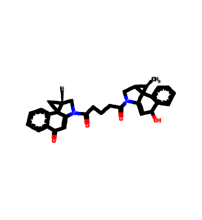 C[C@@H]1C2CN(C(=O)CCCC(=O)N3C[C@H]4CC45C3=CC(=O)c3ccccc35)C3=CC(O)c4ccccc4C321